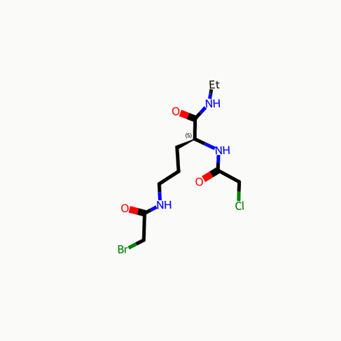 CCNC(=O)[C@H](CCCNC(=O)CBr)NC(=O)CCl